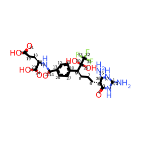 N[C@H]1NC(=O)[C@H](CCC[C@@H](c2ccc(C(=O)N[C@H](CCC(=O)O)C(=O)O)cc2)C(O)(O)C(F)(F)F)[C@@H](N)N1